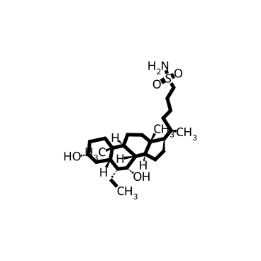 CC[C@H]1[C@@H](O)[C@@H]2[C@H](CC[C@]3(C)[C@@H]([C@H](C)CCCCS(N)(=O)=O)CC[C@@H]23)[C@@]2(C)CC[C@@H](O)C[C@@H]12